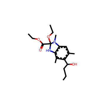 CCCC(O)c1c(C)cc2c(c1C)NC(OCC)(C(=O)OCC)N2C